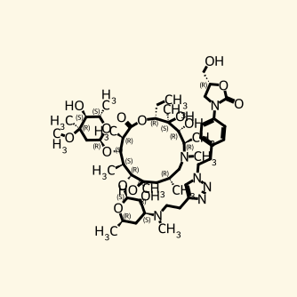 CC[C@H]1OC(=O)[C@H](C)[C@@H](O[C@H]2C[C@@](C)(OC)[C@@H](O)[C@H](C)O2)[C@H](C)[C@@H](O[C@@H]2O[C@H](C)C[C@H](N(C)CCc3cn(CCc4ccc(N5C[C@H](CO)OC5=O)cc4)nn3)[C@H]2O)[C@](C)(O)C[C@@H](C)CN(C)[C@H](C)[C@@H](O)[C@]1(C)O